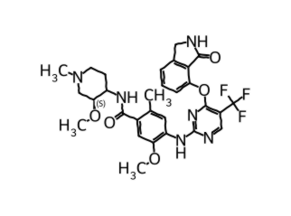 COc1cc(C(=O)NC2CCN(C)C[C@@H]2OC)c(C)cc1Nc1ncc(C(F)(F)F)c(Oc2cccc3c2C(=O)NC3)n1